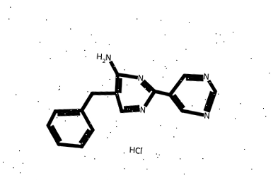 Cl.Nc1nc(-c2cncnc2)ncc1Cc1ccccc1